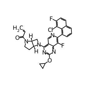 C=CC(=O)N1CC[C@@H]2[C@H]1CN2c1nc(OC2CC2)nc2c(F)c(-c3cccc4ccc(F)c(Cl)c34)ncc12